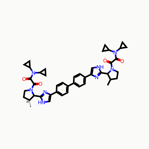 CC1CCN(C(=O)C(=O)N(C2CC2)C2CC2)C1c1nc(-c2ccc(-c3ccc(-c4c[nH]c(C5[C@H](C)CCN5C(=O)C(=O)N(C5CC5)C5CC5)n4)cc3)cc2)c[nH]1